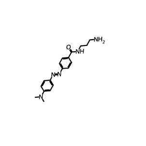 CN(C)c1ccc(/N=N/c2ccc(C(=O)NCCCN)cc2)cc1